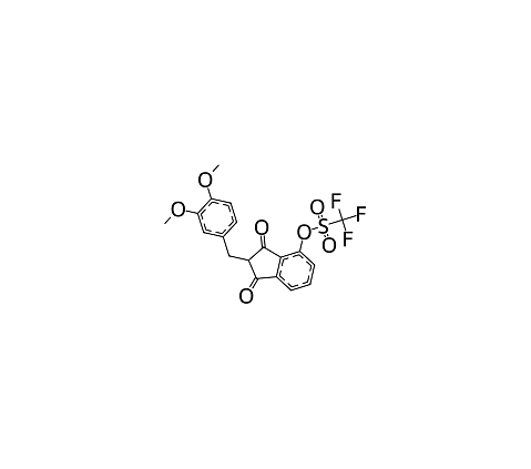 COc1ccc(CC2C(=O)c3cccc(OS(=O)(=O)C(F)(F)F)c3C2=O)cc1OC